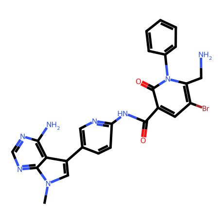 Cn1cc(-c2ccc(NC(=O)c3cc(Br)c(CN)n(-c4ccccc4)c3=O)nc2)c2c(N)ncnc21